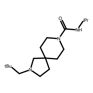 CC(C)NC(=O)N1CCC2(CCN(CC(C)(C)C)C2)CC1